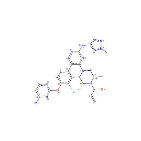 C=CC(=O)N1[C@H](C)CN(c2nc(Nc3cnn(C)c3)ncc2-c2ccc(Oc3nccc(C)n3)c(F)c2)C[C@@H]1C